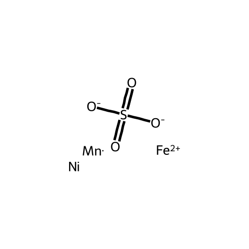 O=S(=O)([O-])[O-].[Fe+2].[Mn].[Ni]